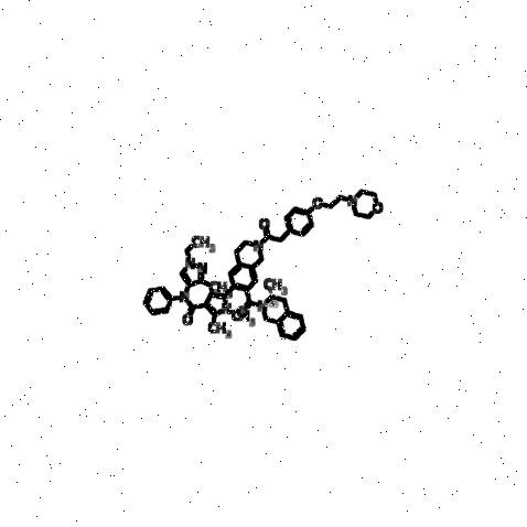 CCn1cc(N(C(=O)c2cc(-c3cc4c(cc3C(=O)N3Cc5ccccc5C[C@H]3C)CN(C(=O)Cc3ccc(OCCN5CCOCC5)cc3)CC4)n(C)c2C)c2ccccc2)c(C)n1